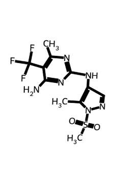 Cc1nc(Nc2cnn(S(C)(=O)=O)c2C)nc(N)c1C(F)(F)F